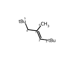 C/C(=C\C(C)(C)C)CC(C)(C)C